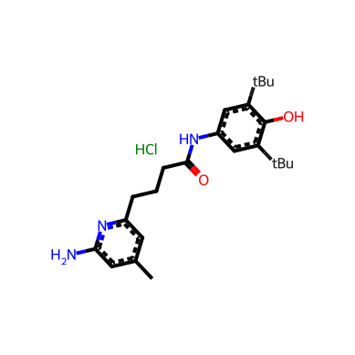 Cc1cc(N)nc(CCCC(=O)Nc2cc(C(C)(C)C)c(O)c(C(C)(C)C)c2)c1.Cl